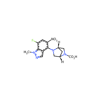 Cn1ncc2c(N3C[C@@H]4C[C@H]3CN4C(=O)O)c([N+](=O)[O-])cc(F)c21